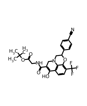 CC(C)(C)OC(=O)CNC(=O)C1=C(O)c2ccc(C(F)(F)F)c3c2N(C1)CC(c1ccc(C#N)cc1)O3